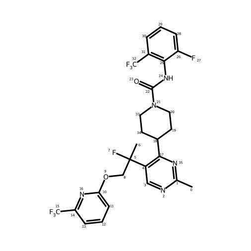 Cc1ncc(C(C)(F)COc2cccc(C(F)(F)F)n2)c(C2CCN(C(=O)Nc3c(F)cccc3C(F)(F)F)CC2)n1